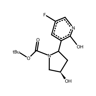 CC(C)(C)OC(=O)N1C[C@H](O)CC1c1cc(F)cnc1O